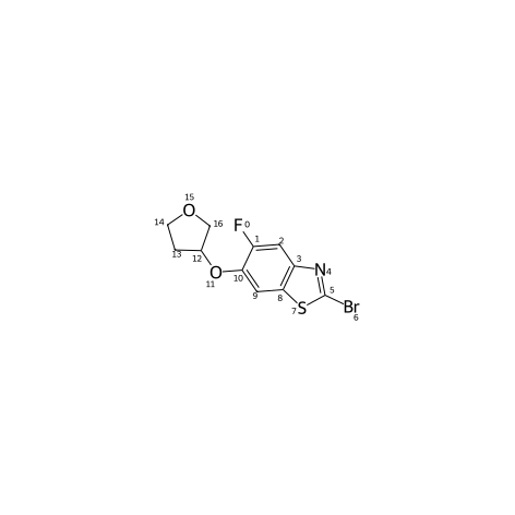 Fc1cc2nc(Br)sc2cc1OC1CCOC1